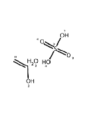 C=CO.O.O=S(=O)(O)O